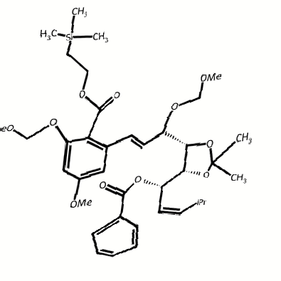 COCOc1cc(OC)cc(/C=C/C(OCOC)[C@@H]2OC(C)(C)O[C@@H]2[C@H](/C=C\C(C)C)OC(=O)c2ccccc2)c1C(=O)OCC[Si](C)(C)C